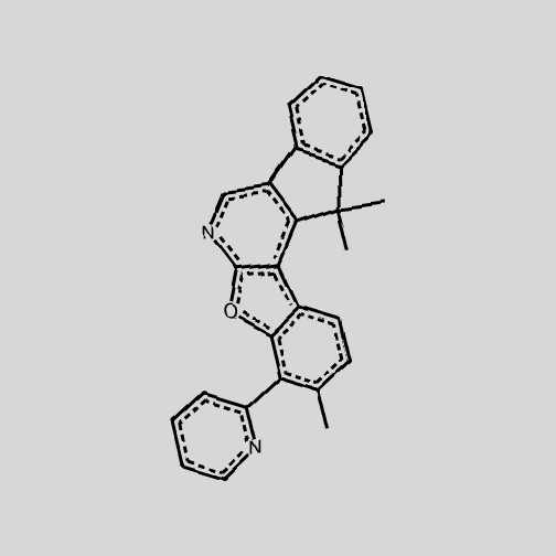 Cc1ccc2c(oc3ncc4c(c32)C(C)(C)c2ccccc2-4)c1-c1ccccn1